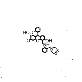 O=C(O)c1ccccc1-c1c2ccc(=O)cc-2oc2c(CNc3ccccc3CN3CCSSCC3)c(O)ccc12